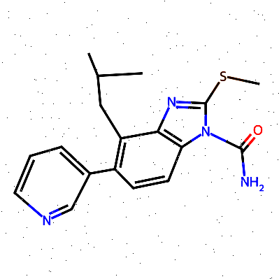 CSc1nc2c(CC(C)C)c(-c3cccnc3)ccc2n1C(N)=O